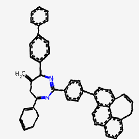 C=C1CC(C2=CC=CCC2)=NC(c2ccc(-c3ccc4c5c3ccc3cccc(c35)CC=C4)cc2)=NC1c1ccc(-c2ccccc2)cc1